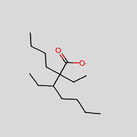 CCCCC(CC)C(CC)(CCCC)C([O])=O